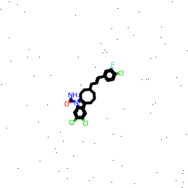 NC(=O)n1c2c(c3cc(Cl)c(Cl)cc31)CCCC(C/C=C/c1ccc(Cl)c(F)c1)CC2